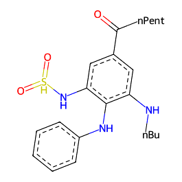 CCCCCC(=O)c1cc(NCCCC)c(Nc2ccccc2)c(N[SH](=O)=O)c1